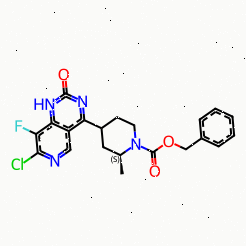 C[C@H]1CC(c2nc(=O)[nH]c3c(F)c(Cl)ncc23)CCN1C(=O)OCc1ccccc1